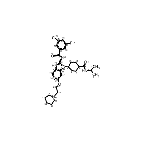 CC(C)NC(=O)C1CCC(n2/c(=N/C(=O)c3cc(F)cc(Cl)c3)[nH]c3cnc(OCCN4CCCCC4)cc32)CC1